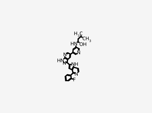 CC(C)CC(O)Nc1cncc(-c2cnc3[nH]nc(-c4cc5c(-c6ccccc6F)nccc5[nH]4)c3c2)c1